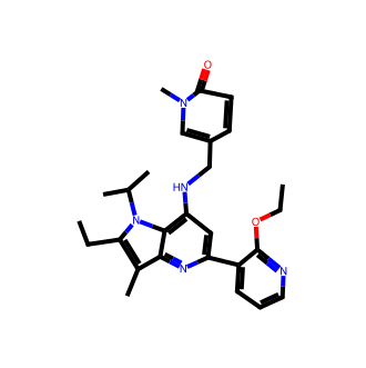 CCOc1ncccc1-c1cc(NCc2ccc(=O)n(C)c2)c2c(n1)c(C)c(CC)n2C(C)C